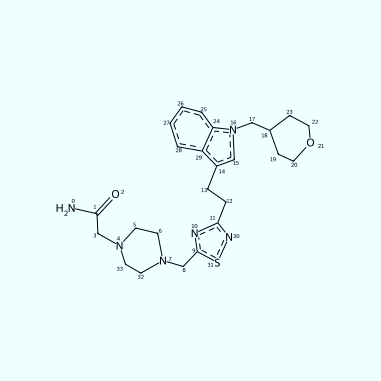 NC(=O)CN1CCN(Cc2nc(CCc3cn(CC4CCOCC4)c4ccccc34)ns2)CC1